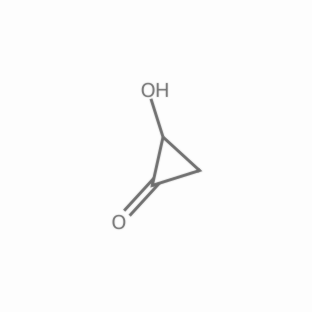 O=C1CC1O